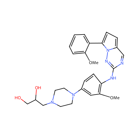 COc1cc(N2CCN(CC(O)CO)CC2)ccc1Nc1ncc2ccc(-c3ccccc3OC)n2n1